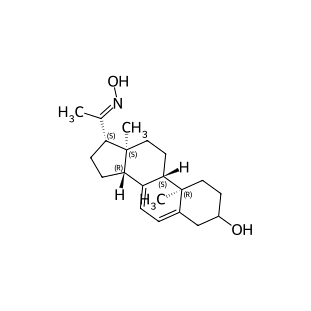 CC(=NO)[C@H]1CC[C@H]2C3=CC=C4CC(O)CC[C@]4(C)[C@H]3CC[C@]12C